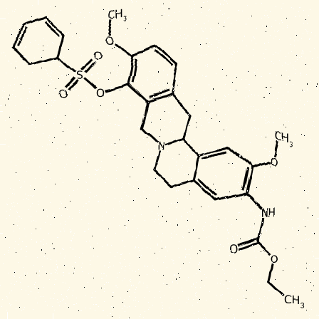 CCOC(=O)Nc1cc2c(cc1OC)C1Cc3ccc(OC)c(OS(=O)(=O)C4C=CC=CC4)c3CN1CC2